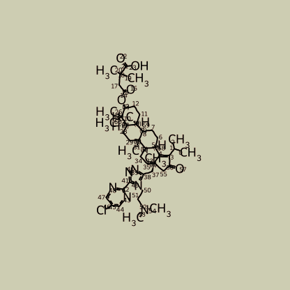 CC(C)C1=C2[C@H]3CC[C@@H]4[C@@]5(C)CC[C@H](OC(=O)CC(C)(C)C(=O)O)C(C)(C)[C@@H]5CC[C@@]4(C)[C@]3(C)CC[C@@]2(Cc2nnc(-c3ncc(Cl)cn3)n2CCN(C)C)CC1=O